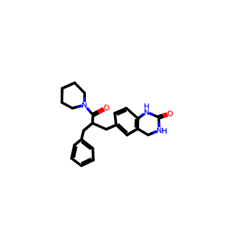 O=C1NCc2cc(CC(Cc3ccccc3)C(=O)N3CCCCC3)ccc2N1